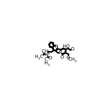 COCc1c(C(O)C=O)cc2n(c1=O)Cc1c-2nc2ccccc2c1CCN(C(C)=O)C(C)C